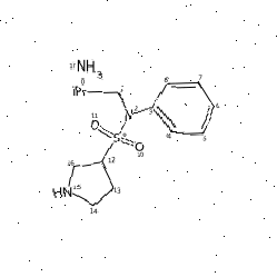 CC(C)CN(c1ccccc1)S(=O)(=O)C1CCNC1.N